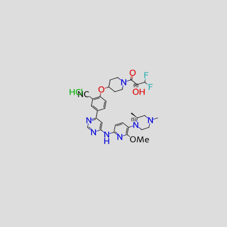 COc1nc(Nc2cc(-c3ccc(OC4CCN(C(=O)[C@@H](O)C(F)F)CC4)c(C#N)c3)ncn2)ccc1N1CCN(C)C[C@@H]1C.Cl